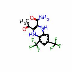 CC(=O)C1=C(C(N)=O)Nc2cc(C(F)(F)F)cc(C(F)(F)F)c2N1